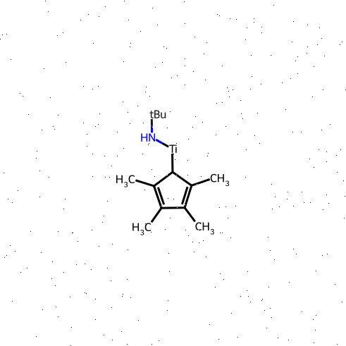 CC1=C(C)[CH]([Ti][NH]C(C)(C)C)C(C)=C1C